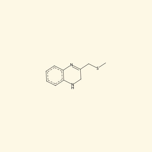 CSCC1=Nc2ccccc2NC1